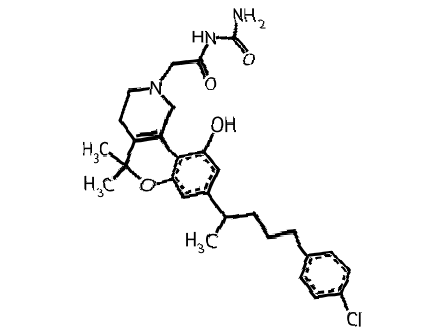 CC(CCCc1ccc(Cl)cc1)c1cc(O)c2c(c1)OC(C)(C)C1=C2CN(CC(=O)NC(N)=O)CC1